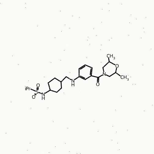 CC1CN(C(=O)c2cccc(NCC3CCC(NS(=O)(=O)C(C)C)CC3)c2)CC(C)O1